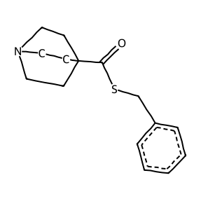 O=C(SCc1ccccc1)C12CCN(CC1)CC2